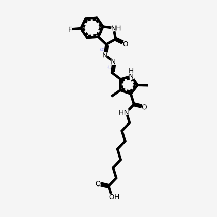 Cc1[nH]c(/C=N/N=C2\C(=O)Nc3ccc(F)cc32)c(C)c1C(=O)NCCCCCCCC(=O)O